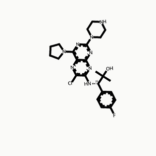 CC(C)(O)[C@@H](Nc1nc2nc(N3CCNCC3)nc(N3CCCC3)c2nc1Cl)c1ccc(F)cc1